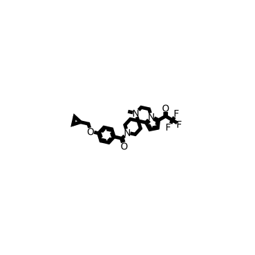 CN1CCn2c(C(=O)C(F)(F)F)ccc2C12CCN(C(=O)c1ccc(OCC3CC3)cc1)CC2